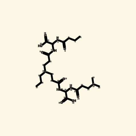 CCCC(=O)NC(NC(=O)CCN(CCC)CCC(=O)NC(NC(=O)CCN(C)C)C(=O)O)C(=O)O